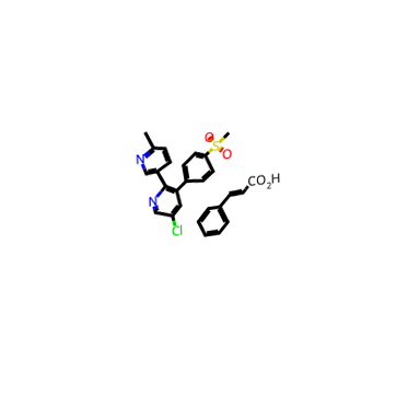 Cc1ccc(-c2ncc(Cl)cc2-c2ccc(S(C)(=O)=O)cc2)cn1.O=C(O)C=Cc1ccccc1